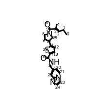 CCC=C(C)C(=O)N1CCC(c2ccc(C(=O)NCc3ccn4ccnc4c3)s2)C1